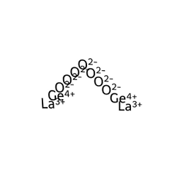 [Ge+4].[Ge+4].[La+3].[La+3].[O-2].[O-2].[O-2].[O-2].[O-2].[O-2].[O-2]